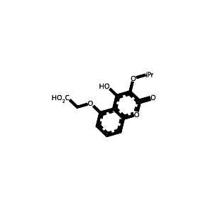 CC(C)Oc1c(O)c2c(OCC(=O)O)cccc2oc1=O